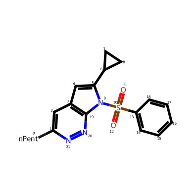 [CH2]CCCCc1cc2cc(C3CC3)n(S(=O)(=O)c3ccccc3)c2nn1